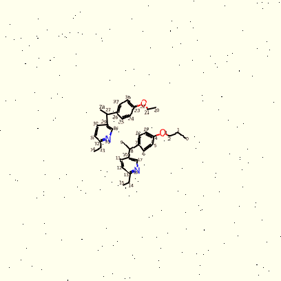 CCCOc1ccc(C(C)c2ccc(CC)nc2)cc1.CCOc1ccc(C(C)c2ccc(CC)nc2)cc1